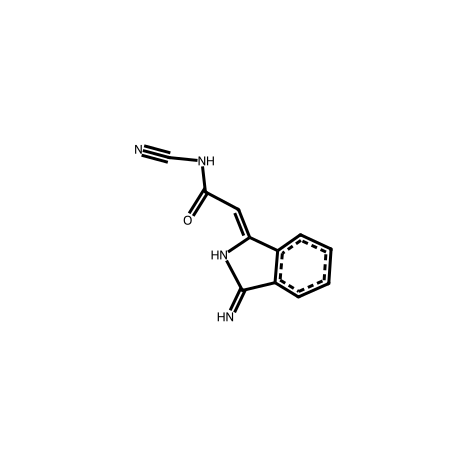 N#CNC(=O)C=C1NC(=N)c2ccccc21